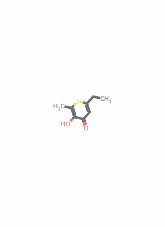 CCc1cc(=O)c(O)c(C)s1